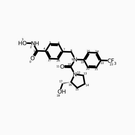 O=C(NO)c1ccc(CN(C(=O)N2CCC[C@@H]2CO)c2ccc(C(F)(F)F)cc2)cc1